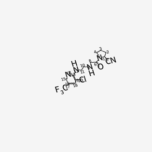 N#C[C@@H]1CCCN1C(=O)CNCCNc1ncc(C(F)(F)F)cc1Cl